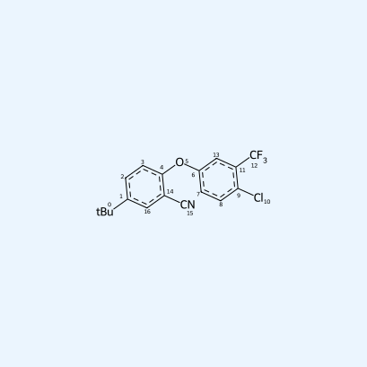 CC(C)(C)c1ccc(Oc2ccc(Cl)c(C(F)(F)F)c2)c(C#N)c1